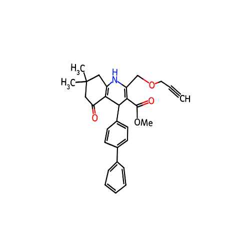 C#CCOCC1=C(C(=O)OC)C(c2ccc(-c3ccccc3)cc2)C2=C(CC(C)(C)CC2=O)N1